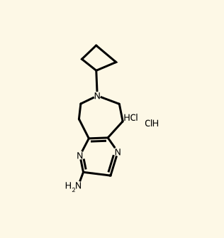 Cl.Cl.Nc1cnc2c(n1)CCN(C1CCC1)CC2